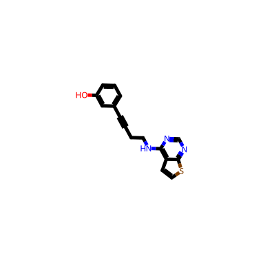 Oc1cccc(C#CCCNc2ncnc3sccc23)c1